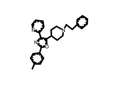 Cc1ccc(-c2nc(-c3ccccn3)c(C3CCN(CCc4ccccc4)CC3)o2)cc1